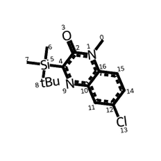 Cn1c(=O)c([Si](C)(C)C(C)(C)C)nc2cc(Cl)ccc21